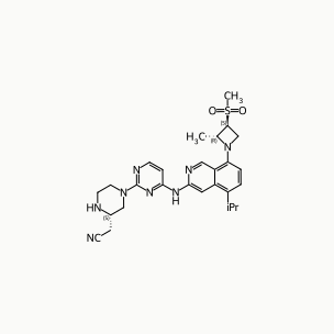 CC(C)c1ccc(N2C[C@H](S(C)(=O)=O)[C@H]2C)c2cnc(Nc3ccnc(N4CCN[C@@H](CC#N)C4)n3)cc12